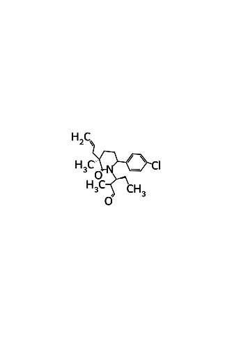 C=CC[C@@]1(C)CCC(c2ccc(Cl)cc2)N([C@@H](CC)C(C)C=O)C1=O